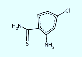 NC(=S)c1ccc(Cl)cc1N